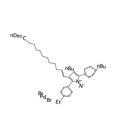 CCCCCCCCCCCCCCCCCCCCC=CC1=C(c2ccc(CC)cc2)[N+](=[N-])C(c2ccc(CCCC)cc2)=C1CCCC.[Br][Pd][Br]